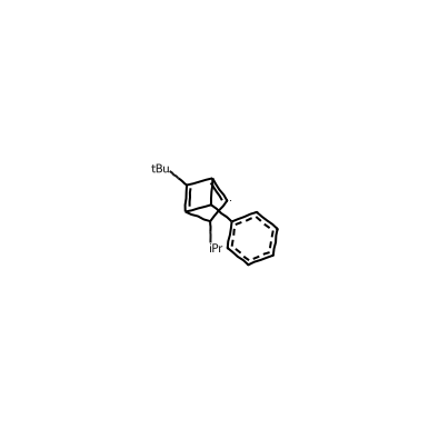 CC(C)C1[C]=C2C(C(C)(C)C)=C1C2c1ccccc1